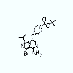 CC(C)c1nc(Br)c2c(N)ncc(CN3CCN(C(=O)OC(C)(C)C)CC3)n12